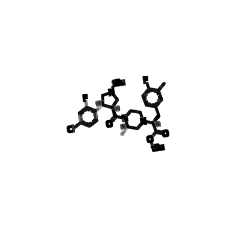 Cc1cc(C[C@@H](C(=O)OC(C)(C)C)N2CCN(C(=O)[C@@H]3CN(C(C)(C)C)C[C@H]3c3ccc(Cl)cc3F)[C@@H](C)C2)ccc1F